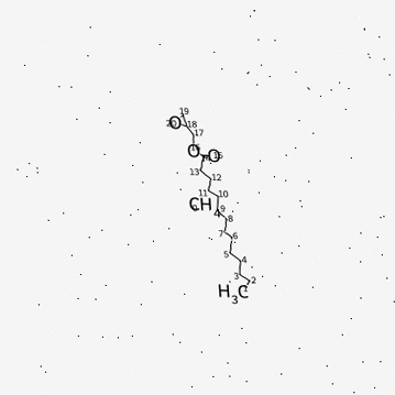 C.CCCCCCCCCCCCCC(=O)OCC1CO1